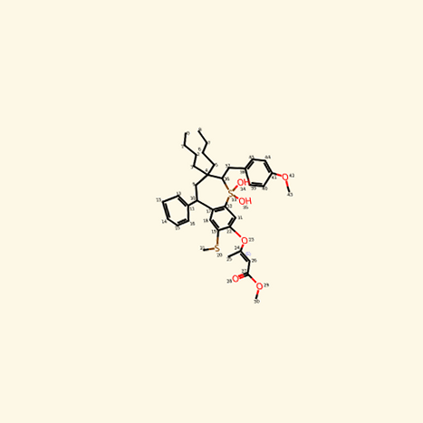 CCCCC1(CCCC)CC(c2ccccc2)c2cc(SC)c(O/C(C)=C/C(=O)OC)cc2S(O)(O)C1Cc1ccc(OC)cc1